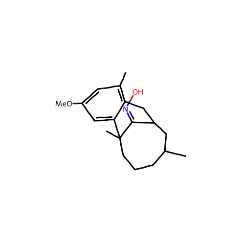 COc1cc(C)c2c(c1)C1(C)CCCC(C)CC(C2)/C1=N\O